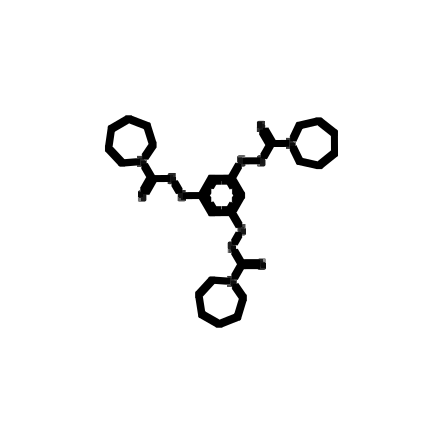 S=C(SSc1cc(SSC(=S)N2CCCCCC2)cc(SSC(=S)N2CCCCCC2)c1)N1CCCCCC1